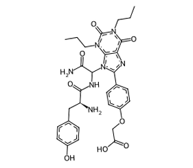 CCCn1c(=O)c2nc(-c3ccc(OCC(=O)O)cc3)n(C(NC(=O)[C@@H](N)Cc3ccc(O)cc3)C(N)=O)c2n(CCC)c1=O